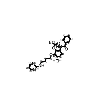 CCC(=O)Oc1c(NC(=O)c2ccccc2)cccc1OCCCCNc1ncccn1.Cl